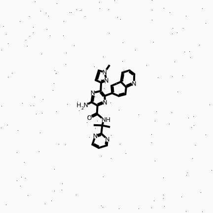 Cn1ccc(-c2nc(N)c(C(=O)NC(C)(C)c3ncccn3)nc2-c2ccc3ncccc3c2)n1